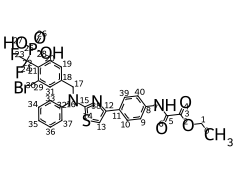 CCOC(=O)C(=O)Nc1ccc(-c2csc(N(Cc3ccc(C(F)(F)P(=O)(O)O)c(Br)c3)c3ccccc3)n2)cc1